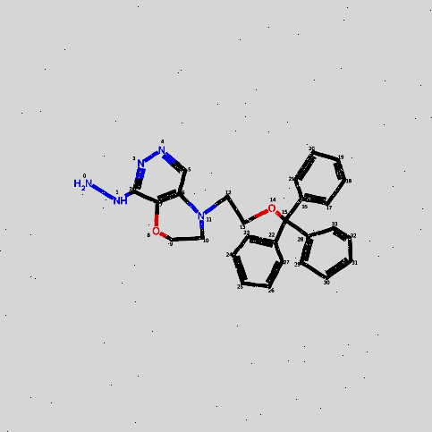 NNc1nncc2c1OCCN2CCOC(c1ccccc1)(c1ccccc1)c1ccccc1